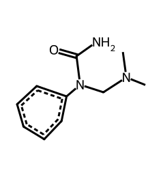 CN(C)CN(C(N)=O)c1ccccc1